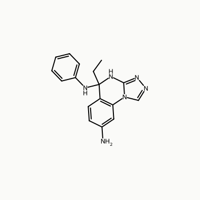 CCC1(Nc2ccccc2)Nc2nncn2-c2cc(N)ccc21